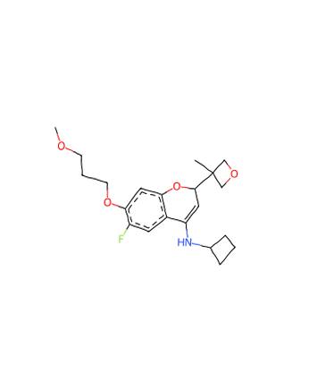 COCCCOc1cc2c(cc1F)C(NC1CCC1)=CC(C1(C)COC1)O2